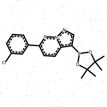 CC1(C)OB(c2cnn3nc(-c4cccc(Cl)c4)ccc23)OC1(C)C